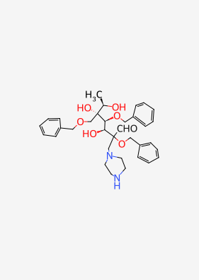 C[C@@H](O)[C@](O)(COCc1ccccc1)[C@@H](OCc1ccccc1)[C@H](O)C(C=O)(CN1CCNCC1)OCc1ccccc1